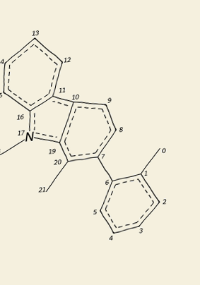 Cc1ccccc1-c1ccc2c3ccccc3n(C)c2c1C